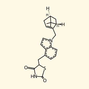 CC1(C)[C@H]2CC=C(Cn3ccc4c(CC5SC(=O)NC5=O)cccc43)[C@H]1C2